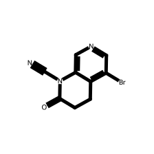 N#CN1C(=O)CCc2c(Br)cncc21